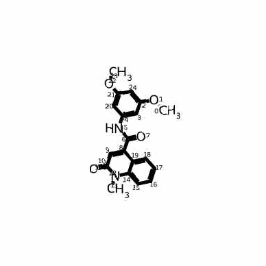 COc1cc(NC(=O)c2cc(=O)n(C)c3ccccc23)cc(OC)c1